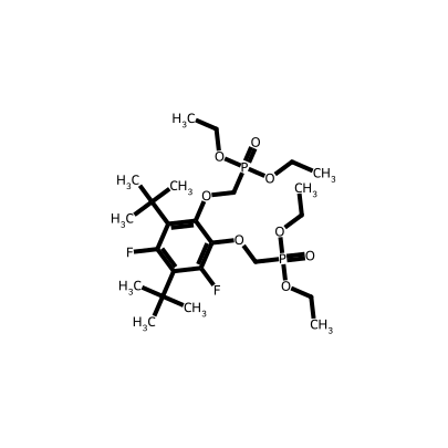 CCOP(=O)(COc1c(F)c(C(C)(C)C)c(F)c(C(C)(C)C)c1OCP(=O)(OCC)OCC)OCC